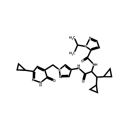 CC(C)n1nccc1C(=O)NC(C(=O)Nc1cnn(Cc2cc(C3CC3)n[nH]c2=O)c1)C(C1CC1)C1CC1